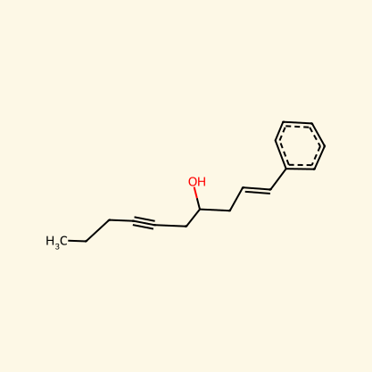 CCCC#CCC(O)CC=Cc1ccccc1